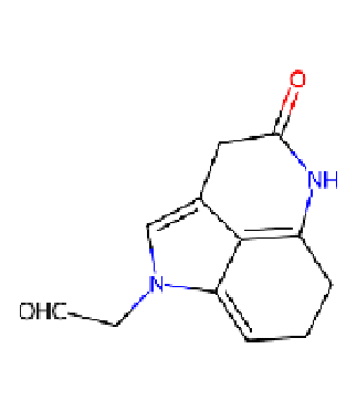 O=CCn1cc2c3c1=CCCC=3NC(=O)C2